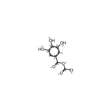 CCC(=O)OC(=O)c1cc(O)c(O)c(O)c1